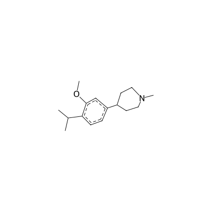 COc1cc(C2CCN(C)CC2)ccc1C(C)C